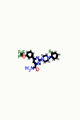 NC(=O)c1cc(-c2cccc(OC(F)(F)F)c2)nc(N2CCN(c3ccccc3F)CC2)n1